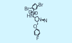 N#CN1C[C@H](NS(=O)(=O)c2cc(Br)ccc2Br)C[C@@H]1COc1ccc(F)cc1